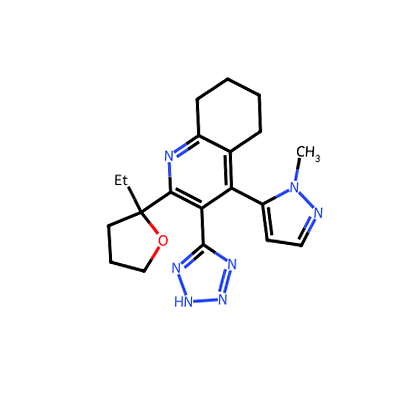 CCC1(c2nc3c(c(-c4ccnn4C)c2-c2nn[nH]n2)CCCC3)CCCO1